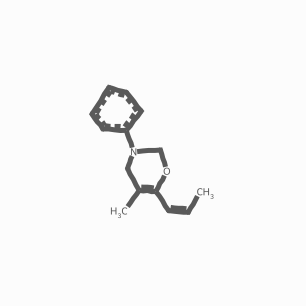 C/C=C\C1=C(C)CN(c2ccccc2)CO1